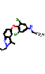 Cc1c2cc(Oc3c(Br)cc(NCC(=O)O)cc3Br)ccc2nn1CC(C)C